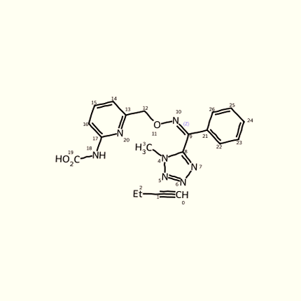 C#CCC.Cn1nnnc1/C(=N\OCc1cccc(NC(=O)O)n1)c1ccccc1